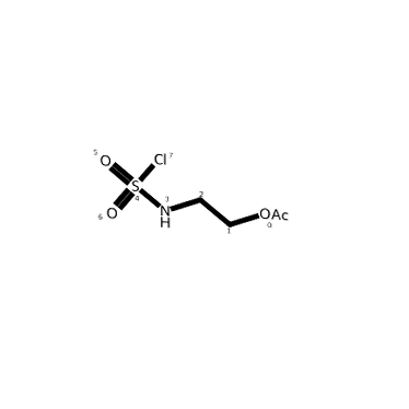 CC(=O)OCCNS(=O)(=O)Cl